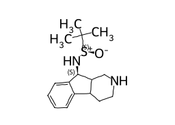 CC(C)(C)[S@@+]([O-])N[C@@H]1c2ccccc2C2CCNCC21